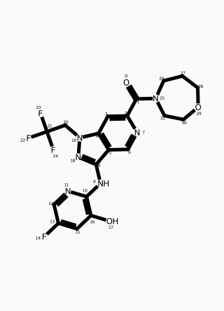 O=C(c1cc2c(cn1)c(Nc1ncc(F)cc1O)nn2CC(F)(F)F)N1CCCOCC1